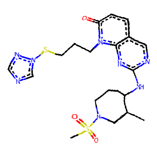 CC1CN(S(C)(=O)=O)CCC1Nc1ncc2ccc(=O)n(CCCSn3cncn3)c2n1